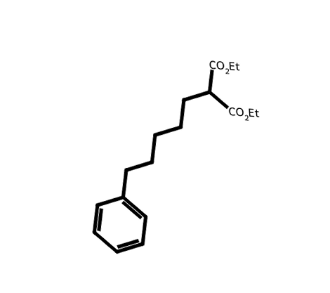 CCOC(=O)C(CCCCCc1ccccc1)C(=O)OCC